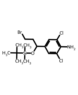 CC(C)(C)[Si](C)(C)OC(CCBr)c1cc(Cl)c(N)c(Cl)c1